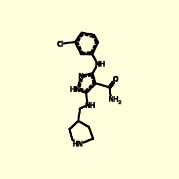 NC(=O)c1c(Nc2cccc(Cl)c2)n[nH]c1NCC1CCNCC1